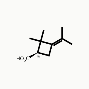 CC(C)=C1C[C@@H](C(=O)O)C1(C)C